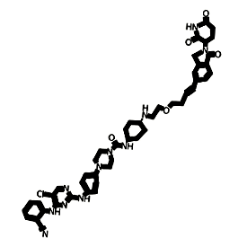 N#Cc1ccccc1Nc1nc(Nc2ccc(N3CCN(C(=O)N[C@H]4CC[C@@H](NCCOCCC#Cc5ccc6c(c5)CN(C5CCC(=O)NC5=O)C6=O)CC4)CC3)cc2)ncc1Cl